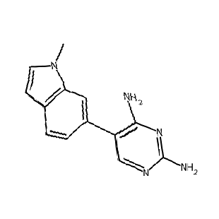 Cn1ccc2ccc(-c3cnc(N)nc3N)cc21